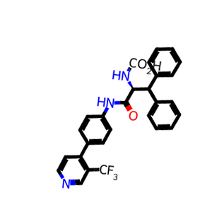 O=C(O)N[C@H](C(=O)Nc1ccc(-c2ccncc2C(F)(F)F)cc1)C(c1ccccc1)c1ccccc1